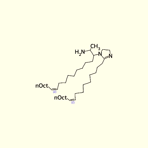 CCCCCCCC/C=C\CCCCCCCCC1=NCCN1C(CCCCCCCC/C=C\CCCCCCCC)C(C)N